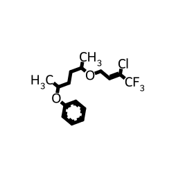 CC(CCC(C)Oc1ccccc1)OC/C=C(\Cl)C(F)(F)F